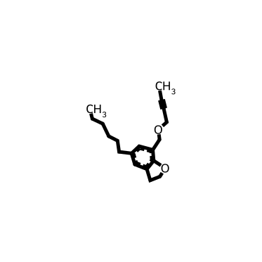 CC#CCOCc1cc(CCCCCC)cc2c1OCC2